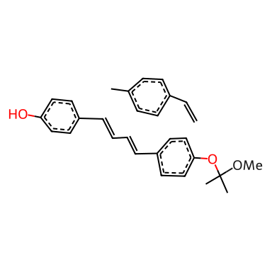 C=Cc1ccc(C)cc1.COC(C)(C)Oc1ccc(C=CC=Cc2ccc(O)cc2)cc1